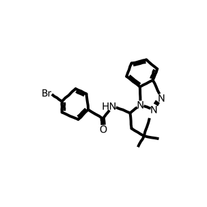 CC(C)(C)CC(NC(=O)c1ccc(Br)cc1)n1nnc2ccccc21